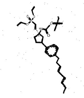 CCCCCCCCc1ccc(C2CC[C@@](CCP(=O)(OCC)OCC)(NC(=O)OC(C)(C)C)C2)cc1